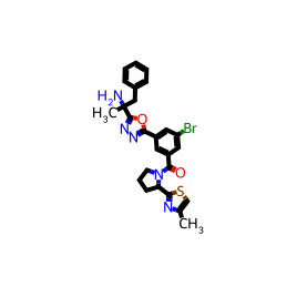 Cc1csc(C2CCCN2C(=O)c2cc(Br)cc(-c3nnc(C(C)(N)Cc4ccccc4)o3)c2)n1